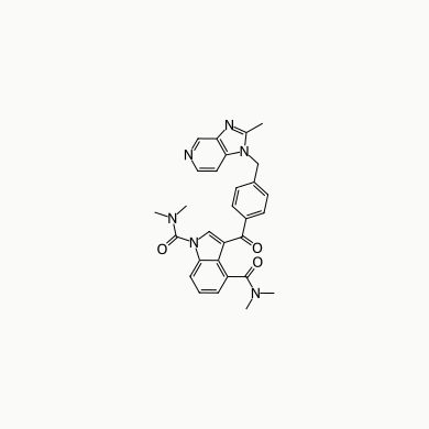 Cc1nc2cnccc2n1Cc1ccc(C(=O)c2cn(C(=O)N(C)C)c3cccc(C(=O)N(C)C)c23)cc1